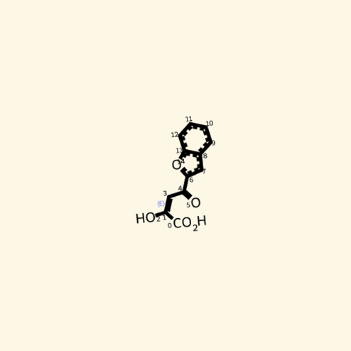 O=C(O)/C(O)=C\C(=O)c1cc2ccccc2o1